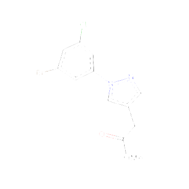 COC(=O)Cc1cnn(-c2cc(Cl)cc(Br)c2)c1